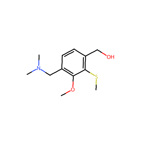 COc1c(CN(C)C)ccc(CO)c1SC